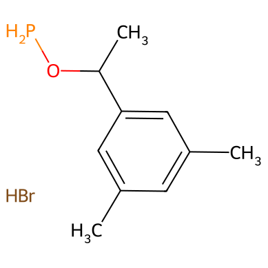 Br.Cc1cc(C)cc(C(C)OP)c1